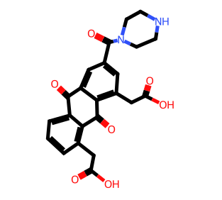 O=C(O)Cc1cccc2c1C(=O)c1c(CC(=O)O)cc(C(=O)N3CCNCC3)cc1C2=O